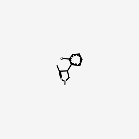 CC1=NNCC1c1ccccc1Cl